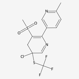 Cc1ccc(C2=C(S(C)(=O)=O)CC(Cl)(SC(F)(F)F)C=N2)cn1